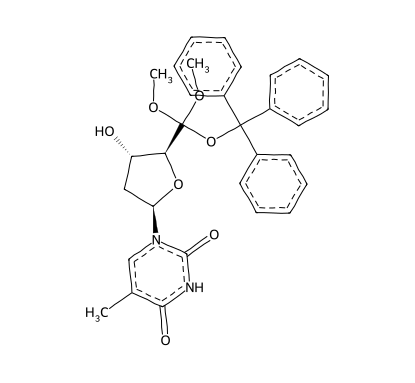 COC(OC)(OC(c1ccccc1)(c1ccccc1)c1ccccc1)[C@H]1O[C@@H](n2cc(C)c(=O)[nH]c2=O)C[C@@H]1O